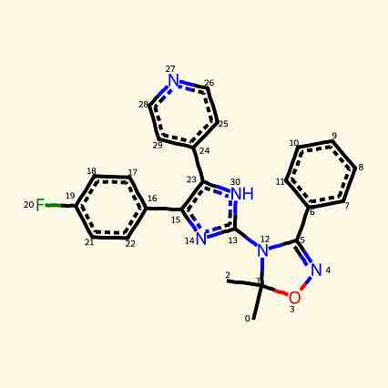 CC1(C)ON=C(c2ccccc2)N1c1nc(-c2ccc(F)cc2)c(-c2ccncc2)[nH]1